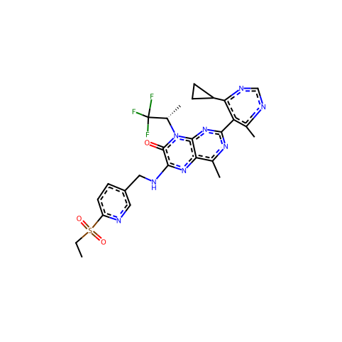 CCS(=O)(=O)c1ccc(CNc2nc3c(C)nc(-c4c(C)ncnc4C4CC4)nc3n([C@@H](C)C(F)(F)F)c2=O)cn1